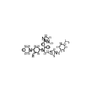 CCc1ccc(CN2CC3C(C2)C3CN(C(=O)Oc2nccn2C)c2ccc(N3CCOCC3)c(F)c2)cc1